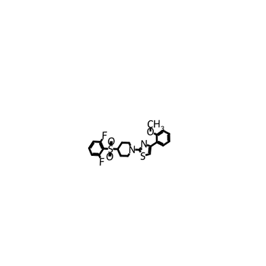 COc1ccccc1-c1csc(N2CCC(S(=O)(=O)c3c(F)cccc3F)CC2)n1